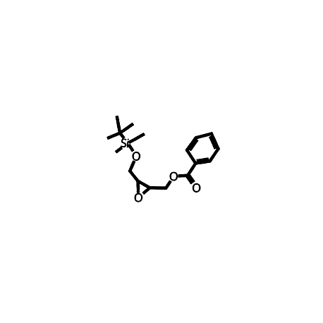 CC(C)(C)[Si](C)(C)OCC1OC1COC(=O)c1ccccc1